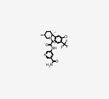 C[C@H]1CC[C@@](C)(c2ccc(C(F)(F)F)c(Cl)c2)N(C(=O)C(=O)Nc2cncc(C(N)=O)c2)C1